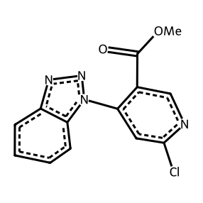 COC(=O)c1cnc(Cl)cc1-n1nnc2ccccc21